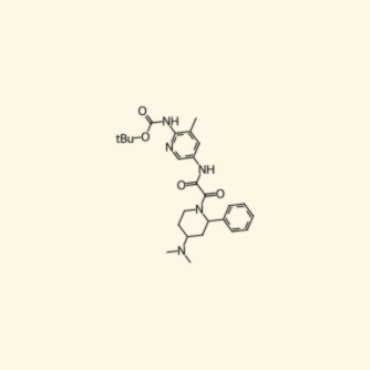 Cc1cc(NC(=O)C(=O)N2CCC(N(C)C)CC2c2ccccc2)cnc1NC(=O)OC(C)(C)C